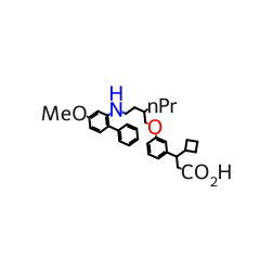 CCCC(CCNc1cc(OC)ccc1-c1ccccc1)COc1cccc(C(CC(=O)O)C2CCC2)c1